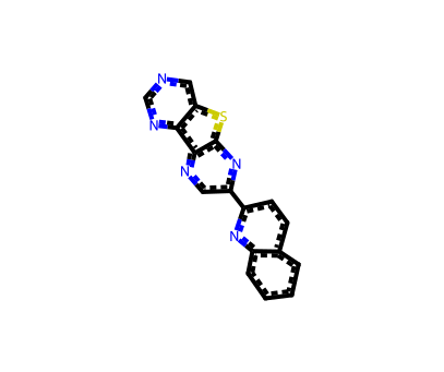 c1ccc2nc(-c3cnc4c(n3)sc3cncnc34)ccc2c1